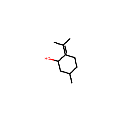 CC(C)=C1CCC(C)CC1O